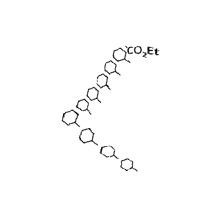 CC1CCCCC1.CC1CCCCC1.CC1CCCCC1.CC1CCCCC1.CC1CCCCC1.CC1CCCCC1.CC1CCCCC1.CC1CCCCC1.CC1CCCCC1.CCOC(C)=O